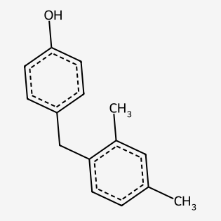 Cc1ccc(Cc2ccc(O)cc2)c(C)c1